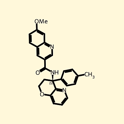 COc1ccc2cc(C(=O)N[C@]3(c4ccc(C)cc4)CCOc4cccnc43)cnc2c1